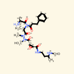 CC(CCNC(=O)[C@H]1O[C@@H]1C(=O)N(C(=O)O)N(C)C(=O)[C@H](C)N(C(=O)CCc1ccccc1)C(=O)[C@@H](N)C(C)C)NC=O